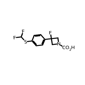 O=C(O)N1CC(F)(c2ccc(SC(F)F)cc2)C1